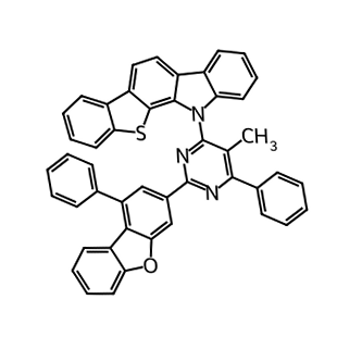 Cc1c(-c2ccccc2)nc(-c2cc(-c3ccccc3)c3c(c2)oc2ccccc23)nc1-n1c2ccccc2c2ccc3c4ccccc4sc3c21